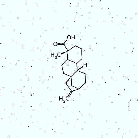 C=C1C[C@@]23CCC4C(CCC[C@@]4(C)C(=O)O)[C@@H]2CCC1C3